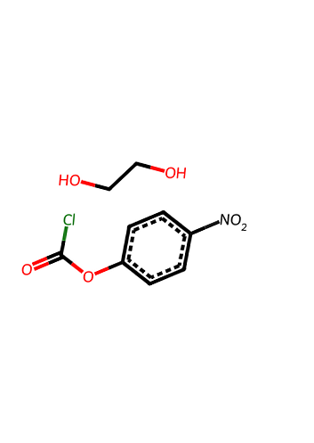 O=C(Cl)Oc1ccc([N+](=O)[O-])cc1.OCCO